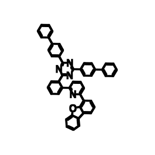 c1ccc(-c2ccc(-c3nc(-c4ccc(-c5ccccc5)cc4)nc(-c4ccccc4-c4cccc(-c5cccc6c5oc5ccccc56)n4)n3)cc2)cc1